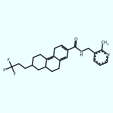 Cc1ncccc1CNC(=O)C1=CCC2=C3CCC(CCC(F)(F)F)CC3CCC2=C1